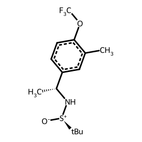 Cc1cc([C@@H](C)N[S@+]([O-])C(C)(C)C)ccc1OC(F)(F)F